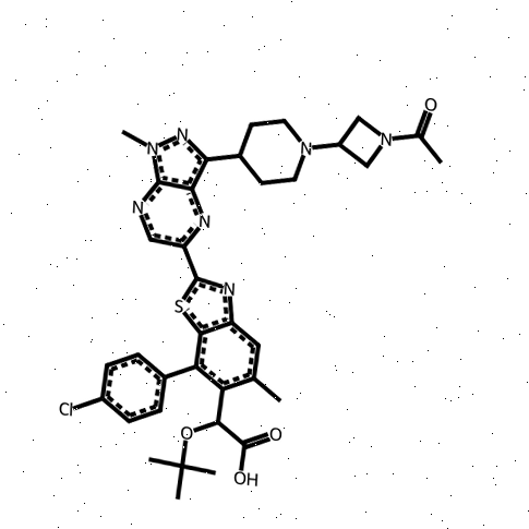 CC(=O)N1CC(N2CCC(c3nn(C)c4ncc(-c5nc6cc(C)c(C(OC(C)(C)C)C(=O)O)c(-c7ccc(Cl)cc7)c6s5)nc34)CC2)C1